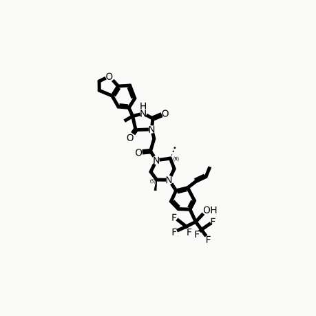 CC=Cc1cc(C(O)(C(F)(F)F)C(F)(F)F)ccc1N1C[C@@H](C)N(C(=O)CN2C(=O)NC(C)(c3ccc4c(c3)CCO4)C2=O)C[C@@H]1C